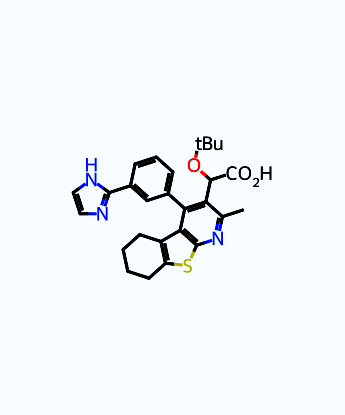 Cc1nc2sc3c(c2c(-c2cccc(-c4ncc[nH]4)c2)c1C(OC(C)(C)C)C(=O)O)CCCC3